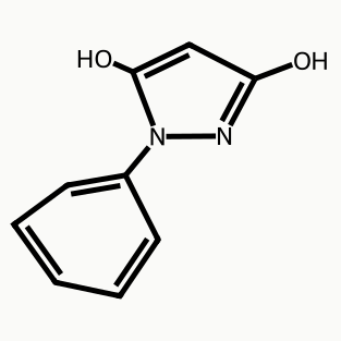 Oc1cc(O)n(-c2ccccc2)n1